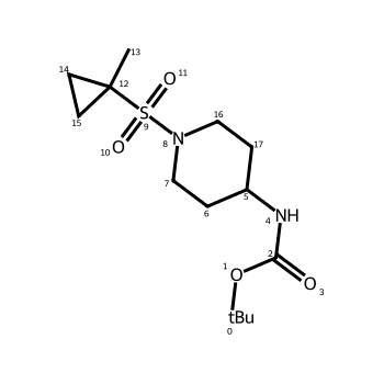 CC(C)(C)OC(=O)NC1CCN(S(=O)(=O)C2(C)CC2)CC1